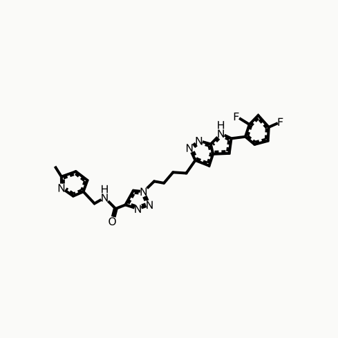 Cc1ccc(CNC(=O)c2cn(CCCCc3cc4cc(-c5ccc(F)cc5F)[nH]c4nn3)nn2)cn1